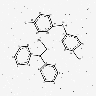 CC(C)CC(c1ccccc1)c1ccccc1.Cc1ccc(Nc2ccc(C)cc2)cc1